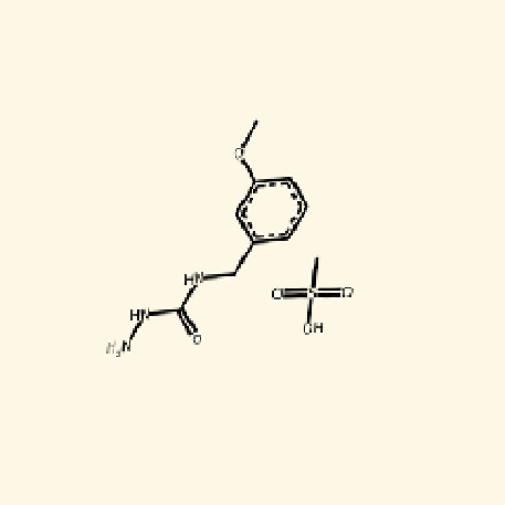 COc1cccc(CNC(=O)NN)c1.CS(=O)(=O)O